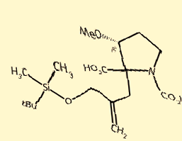 C=C(CO[Si](C)(C)C(C)(C)C)CC1(C(=O)O)[C@H](OC)CCN1C(=O)O